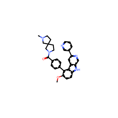 COc1ccc2[nH]c3cnc(-c4cccnc4)cc3c2c1-c1ccc(C(=O)N2CCC3(CCN(C)C3)C2)cc1